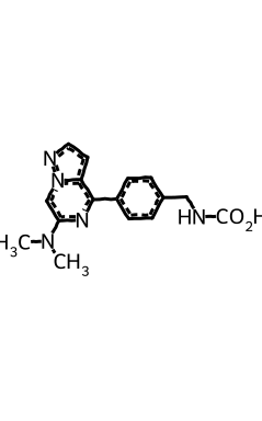 CN(C)c1cn2nccc2c(-c2ccc(CNC(=O)O)cc2)n1